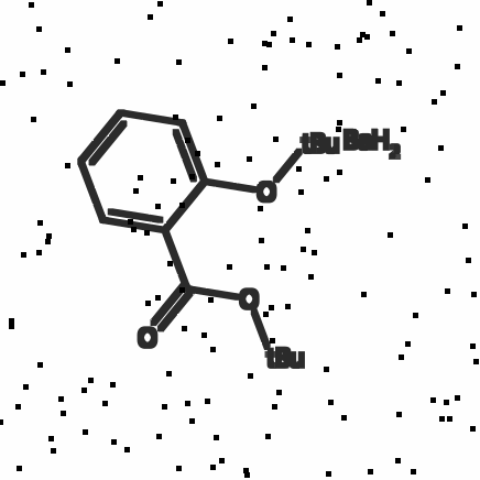 CC(C)(C)OC(=O)c1ccccc1OC(C)(C)C.[BaH2]